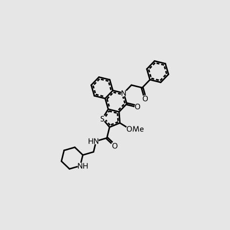 COc1c(C(=O)NCC2CCCCN2)sc2c1c(=O)n(CC(=O)c1ccccc1)c1ccccc21